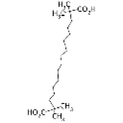 CC(C)(CCCCCCCCCCCCC(C)(C)C(=O)O)C(=O)O